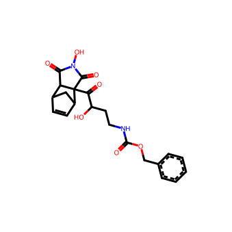 O=C(NCCC(O)C(=O)C12C(=O)N(O)C(=O)C1C1C=CC2C1)OCc1ccccc1